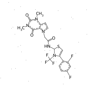 Cn1c(=O)c2c(ccn2CC(=O)NC2SC=C(c3ccc(F)cc3F)N2C(F)(F)F)n(C)c1=O